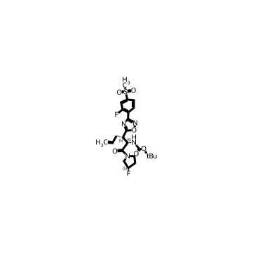 C=CC[C@H](c1nc(-c2ccc(S(C)(=O)=O)cc2F)no1)[C@H](NC(=O)OC(C)(C)C)C(=O)N1CC[C@H](F)C1